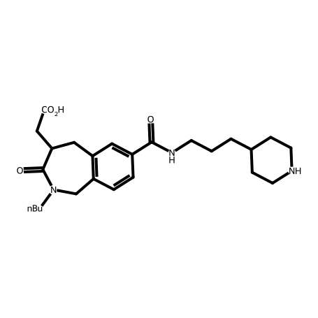 CCCCN1Cc2ccc(C(=O)NCCCC3CCNCC3)cc2CC(CC(=O)O)C1=O